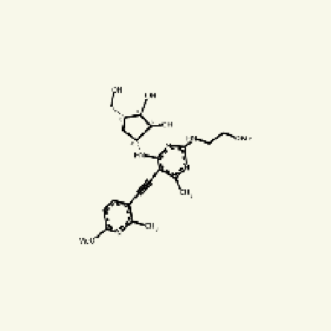 COCCNc1nc(C)c(C#Cc2ccc(OC)nc2C)c(N[C@@H]2C[C@H](CO)[C@@H](O)[C@H]2O)n1